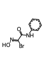 O=C(Nc1ccccc1)C(Br)=NO